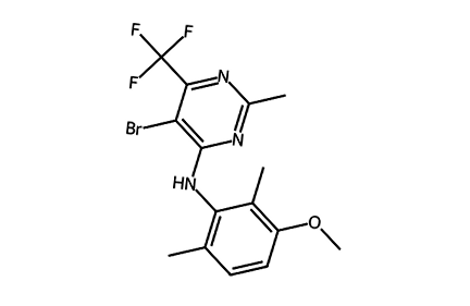 COc1ccc(C)c(Nc2nc(C)nc(C(F)(F)F)c2Br)c1C